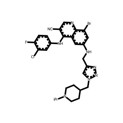 CC(C)N1CCC(Cn2cc(CNc3cc(Br)c4ncc(C#N)c(Nc5ccc(F)c(Cl)c5)c4c3)nn2)CC1